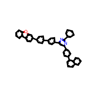 c1ccc(-c2nc(-c3ccc(-c4ccc(-c5ccc6c(c5)oc5ccccc56)cc4)cc3)cc(-c3ccc(-c4cccc5ccccc45)cc3)n2)cc1